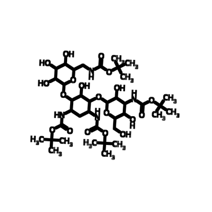 CC(C)(C)OC(=O)NCC1OC(OC2C(NC(=O)OC(C)(C)C)CC(NC(=O)OC(C)(C)C)C(OC3OC(CO)C(O)C(NC(=O)OC(C)(C)C)C3O)C2O)C(O)C(O)C1O